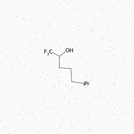 CC(C)CCCC(O)C(F)(F)F